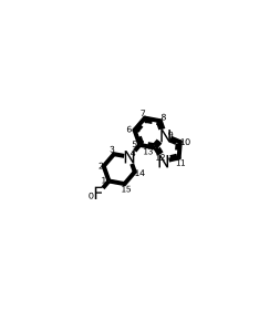 FC1CCN(c2cccn3ccnc23)CC1